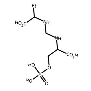 CCC(NCNC(COP(=O)(O)O)C(=O)O)C(=O)O